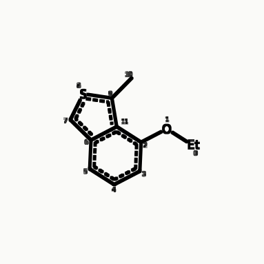 CCOc1cccc2csc(C)c12